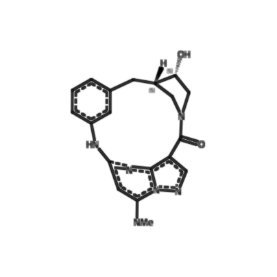 CNc1cc2nc3c(cnn13)C(=O)N1C[C@H](Cc3cccc(c3)N2)[C@H](O)C1